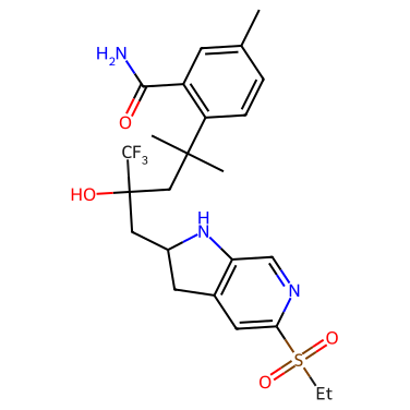 CCS(=O)(=O)c1cc2c(cn1)NC(CC(O)(CC(C)(C)c1ccc(C)cc1C(N)=O)C(F)(F)F)C2